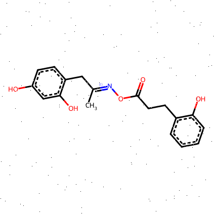 C/C(Cc1ccc(O)cc1O)=N\OC(=O)CCc1ccccc1O